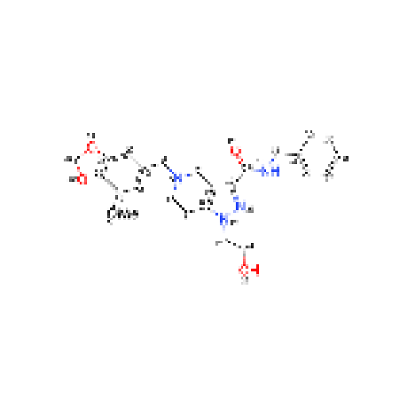 COc1cc(CN2CCc3c(c(C(=O)NCc4ccccc4)nn3CCO)C2)cc2c1OCO2